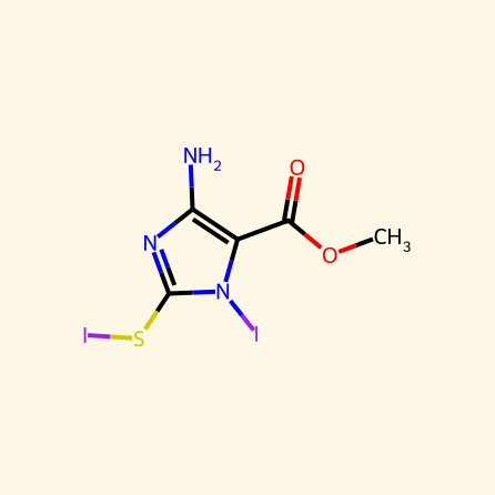 COC(=O)c1c(N)nc(SI)n1I